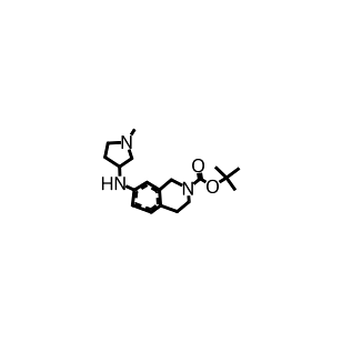 CN1CCC(Nc2ccc3c(c2)CN(C(=O)OC(C)(C)C)CC3)C1